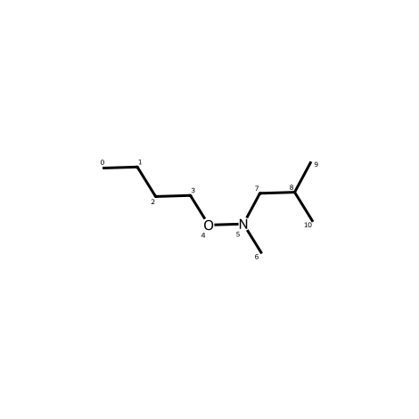 CCCCON(C)CC(C)C